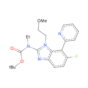 CCN(C(=O)OC(C)(C)C)c1nc2ccc(F)c(-c3ccccn3)c2n1CCOC